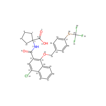 O=C(NC1(C(=O)O)CCCC1)c1cc(Cl)c2ccccc2c1OCc1ccc(SC(F)(F)F)cc1